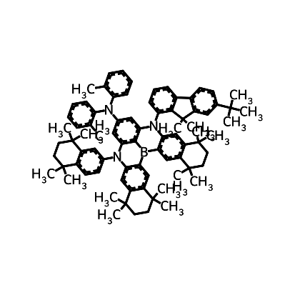 Cc1ccccc1N(c1cc2c3c(c1)N(c1cccc4c1C(C)(C)c1cc(C(C)(C)C)ccc1-4)c1cc4c(cc1B3c1cc3c(cc1N2c1ccc2c(c1)C(C)(C)CCC2(C)C)C(C)(C)CCC3(C)C)C(C)(C)CCC4(C)C)c1ccccc1C